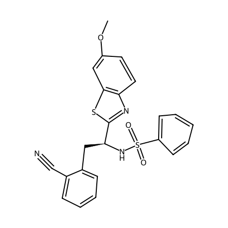 COc1ccc2nc([C@H](Cc3ccccc3C#N)NS(=O)(=O)c3ccccc3)sc2c1